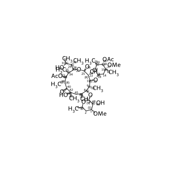 CO[C@H]1C[C@@H](C)O[C@@H](O[C@@H]2[C@@H](C)[C@H](O[C@H]3C[C@@](C)(OC)[C@@H](OC(C)=O)[C@H](C)O3)[C@@H](C)C(=O)O[C@H]([C@@H](C)[C@H](C)O)[C@H](C)[C@H](OC(C)=O)[C@@H](C)C(=O)[C@@](C)(O)C[C@@H]2C)[C@@H]1O